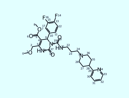 COCC1=C(C(=O)OC)C(c2ccc(F)c(F)c2)N(C(=O)NCCCN2CCC(c3ccccn3)CC2)C(=O)N1